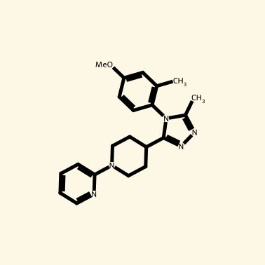 COc1ccc(-n2c(C)nnc2C2CCN(c3ccccn3)CC2)c(C)c1